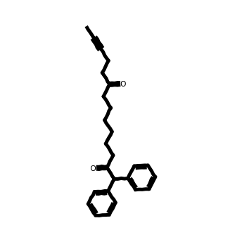 CC#CCCC(=O)CCCCCCC(=O)C(c1ccccc1)c1ccccc1